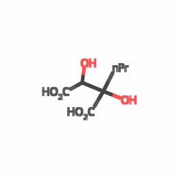 CCCC(O)(C(=O)O)C(O)C(=O)O